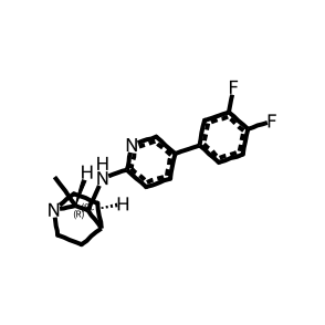 C[C@@H]1[C@@H](Nc2ccc(-c3ccc(F)c(F)c3)cn2)C2CCN1CC2